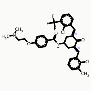 Cc1cccc(/C=C2\CC(NC(=O)c3ccc(OCCN(C)C)cc3)C/C(=C\c3cccc(C(F)(F)F)c3Cl)C2=O)c1Cl